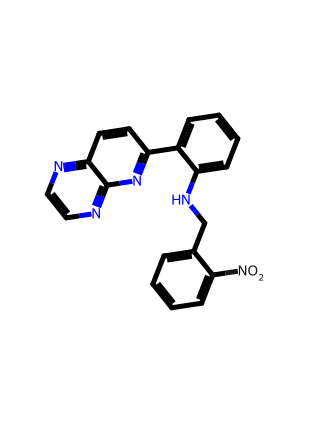 O=[N+]([O-])c1ccccc1CNc1ccccc1-c1ccc2nccnc2n1